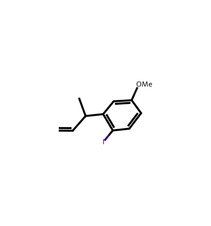 C=C[C](C)c1cc(OC)ccc1I